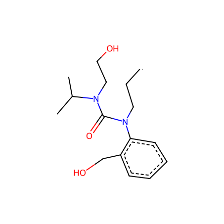 [CH2]CCN(C(=O)N(CCO)C(C)C)c1ccccc1CO